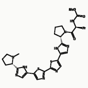 COC(=O)N[C@H](C(=O)N1CCC[C@H]1c1ncc(-c2cnc(-c3ncc(-c4cnc([C@@H]5CCCN5C)[nH]4)s3)s2)[nH]1)C(C)C